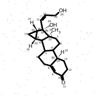 C[C@]12CCC3C(CCC4=CC(=O)CC[C@@H]43)C1[C@@H]1C[C@@H]1[C@@]2(O)/C=C\CO